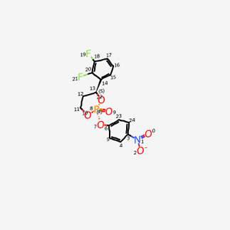 O=[N+]([O-])c1ccc(O[P@]2(=O)OCC[C@@H](c3cccc(F)c3F)O2)cc1